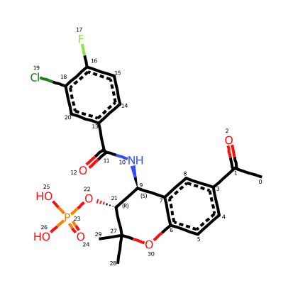 CC(=O)c1ccc2c(c1)[C@H](NC(=O)c1ccc(F)c(Cl)c1)[C@@H](OP(=O)(O)O)C(C)(C)O2